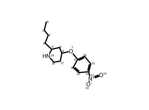 CCCCC1CC(Oc2ccc([N+](=O)[O-])cc2)CCN1